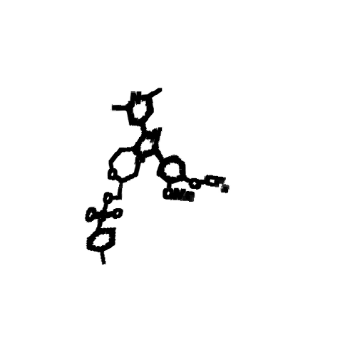 COc1cc(-c2nc(-c3cc(C)nc(C)c3)c3n2C[C@@H](COS(=O)(=O)c2ccc(C)cc2)OCC3)ccc1OC(F)(F)F